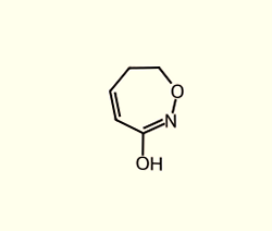 OC1=NOCCC=C1